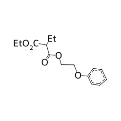 CCOC(=O)C(CC)C(=O)OCCOc1ccccc1